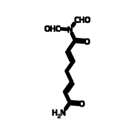 NC(=O)C=CCC=CC(=O)N(C=O)C=O